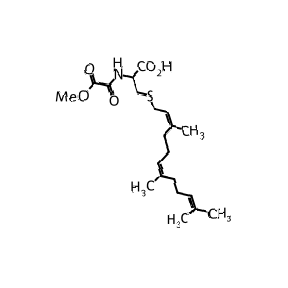 COC(=O)C(=O)NC(CSCC=C(C)CCC=C(C)CCC=C(C)C)C(=O)O